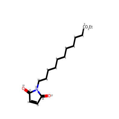 CCOC(=O)CCCCCCCCCCN1C(=O)C=CC1=O